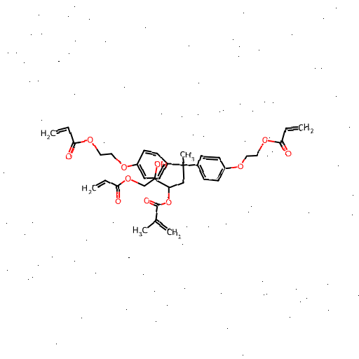 C=CC(=O)OCCOc1ccc(C(C)(CC(OC(=O)C(=C)C)C(O)COC(=O)C=C)c2ccc(OCCOC(=O)C=C)cc2)cc1